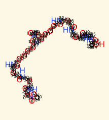 CC(C)(CNC(=O)c1ccccc1O)CC(C)(C)C(=O)NC(C)(C)CCOC(C)(C)CCNC(=O)CCC(C)(C)OCCC(C)(C)NC(=O)CCOCCOCCOCCOCCN(CCOCCOCCOCCOCCC(=O)NC(C)(C)CCOC(C)(C)CCC(=O)NCCC(C)(C)OCCC(C)(C)NC(=O)C(C)(C)CC(C)(C)CNC(=O)c1ccccc1O)C(=O)CCN1C(=O)C=CC1=O